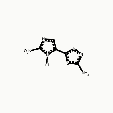 Cn1c(-c2nnc(N)s2)cnc1[N+](=O)[O-]